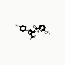 CC(C)[C@H]1CC[C@H](n2cc(NC(=O)c3cccc(C(F)(F)F)n3)c(C(F)F)n2)CC1